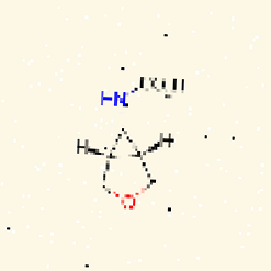 O=C(O)N[C@@H]1[C@@H]2COC[C@@H]21